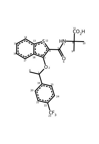 CC(Oc1c(C(=O)NC(C)(C)C(=O)O)sc2ccccc12)c1ccc(C(F)(F)F)cc1